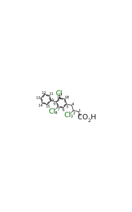 O=C(O)CC(Cl)Cc1cc(Cl)c(-c2ccccc2)c(Cl)c1